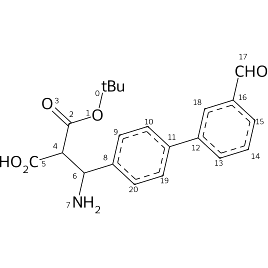 CC(C)(C)OC(=O)C(C(=O)O)C(N)c1ccc(-c2cccc(C=O)c2)cc1